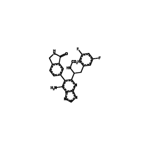 Nc1c(-c2ccc3c(c2)C(=O)NC3)c(C(Cc2cc(F)cc(F)c2)NC(=O)O)nc2ncnn12